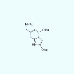 CC(=O)NCc1cc(OCC(C)C)c2cc(OC(C)=O)[nH]c2c1